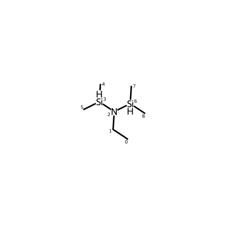 CCN([SiH](C)C)[SiH](C)C